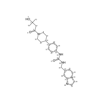 CC(C)(O)CC(=O)N1CCC(c2ccc(NC(=O)NCc3ccn4ccnc4c3)cc2)CC1